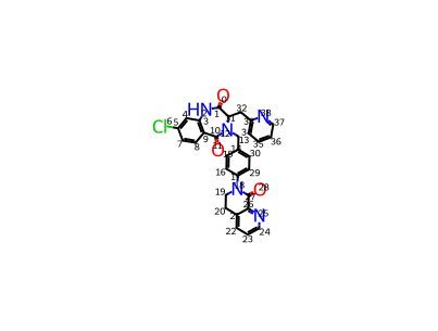 O=C1Nc2cc(Cl)ccc2C(=O)N(Cc2ccc(N3CCc4cccnc4C3=O)cc2)C1Cc1ccccn1